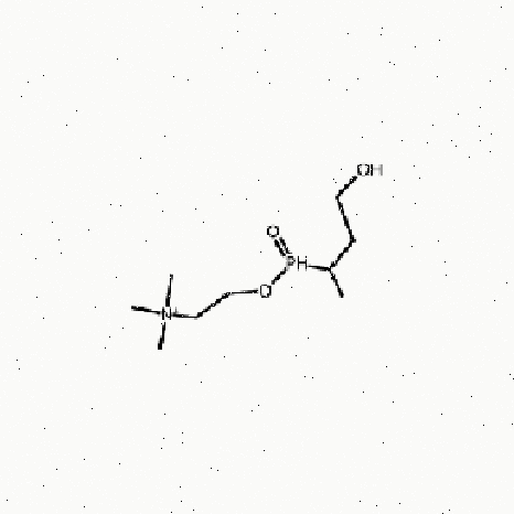 CC(CCO)[PH](=O)OCC[N+](C)(C)C